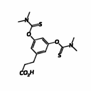 CN(C)C(=S)Oc1cc(CCC(=O)O)cc(OC(=S)N(C)C)c1